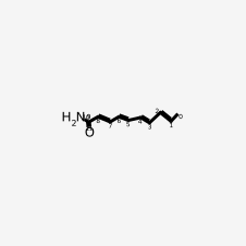 CC=CC=CC=CC=CC(N)=O